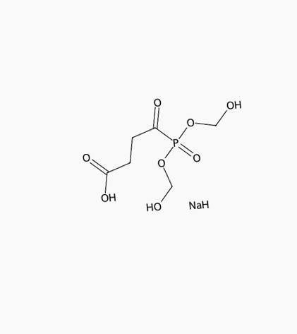 O=C(O)CCC(=O)P(=O)(OCO)OCO.[NaH]